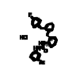 CC(=O)c1cccc(NC(=O)N[C@@H]2CCCC[C@H]2CN2CCCCC2Cc2ccc(F)cc2)c1.Cl